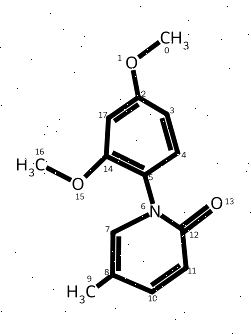 COc1ccc(-n2cc(C)ccc2=O)c(OC)c1